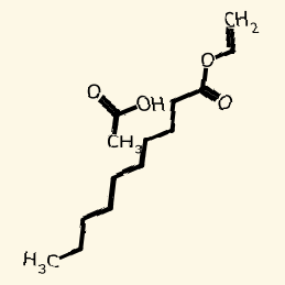 C=COC(=O)CCCCCCCCC.CC(=O)O